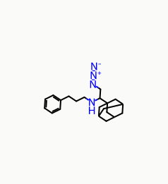 [N-]=[N+]=NCC(NCCCc1ccccc1)C12CC3CC(CC(C3)C1)C2